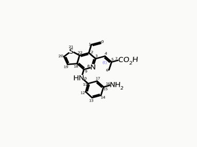 C=Cc1c(/C=C(\C)C(=O)O)nc(Nc2cccc(N)c2)c2ccsc12